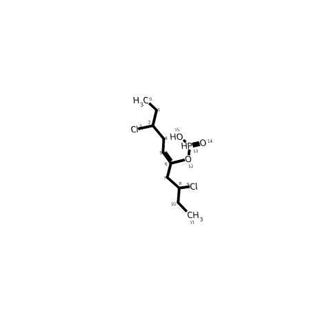 CCC(Cl)CC=C(CC(Cl)CC)O[PH](=O)O